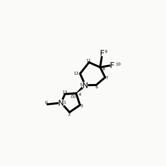 CN1CC[C@H](N2CCC(F)(F)CC2)C1